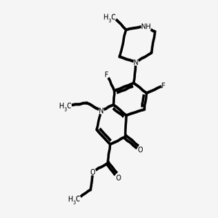 CCOC(=O)c1cn(CC)c2c(F)c(N3CCNC(C)C3)c(F)cc2c1=O